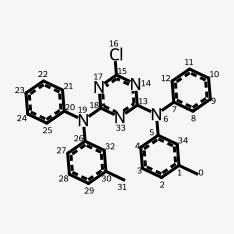 Cc1cccc(N(c2ccccc2)c2nc(Cl)nc(N(c3ccccc3)c3cccc(C)c3)n2)c1